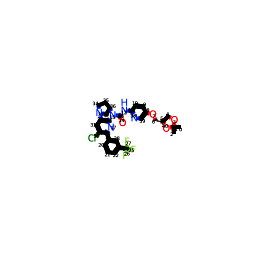 CC1(C)OC[C@@H](COc2ccc(NC(=O)N3c4nc(-c5cccc(C(F)(F)F)c5)c(Cl)cc4N4CCC3C4)nc2)O1